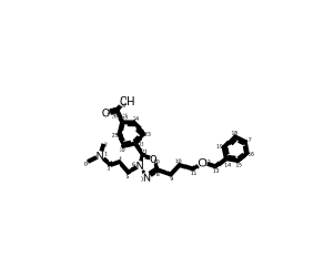 CN(C)CCCN1N=C(CCCOCc2ccccc2)OC1c1ccc(C(=O)O)cc1